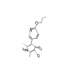 C=CCOc1ccc(-c2c(C)[nH]c(C)c(Cl)c2=O)cn1